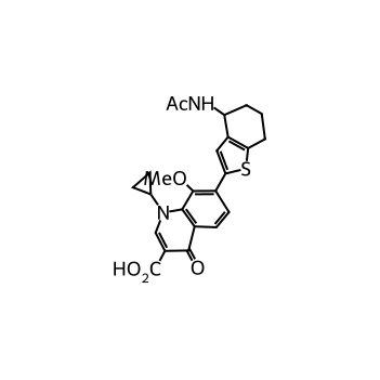 COc1c(-c2cc3c(s2)CCCC3NC(C)=O)ccc2c(=O)c(C(=O)O)cn(C3CC3)c12